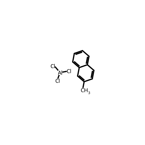 Cc1ccc2ccccc2c1.[Cl][Al]([Cl])[Cl]